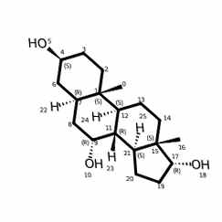 C[C@]12CC[C@H](O)C[C@@H]1C[C@@H](O)[C@@H]1[C@@H]2CC[C@]2(C)[C@H](O)CC[C@@H]12